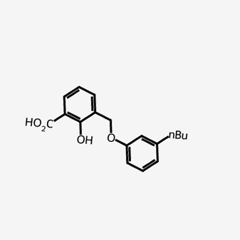 CCCCc1cccc(OCc2cccc(C(=O)O)c2O)c1